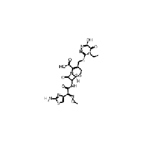 CCn1c(SCC2=C(C(=O)O)N3C(=O)C(NC(=O)C(=NOC)c4csc(N)n4)[C@@H]3SC2)nnc(O)c1=O